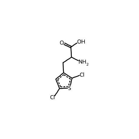 NC(Cc1cc(Cl)sc1Cl)C(=O)O